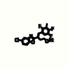 CCOCCC(=Cc1cc(F)c(F)c(C)c1F)c1nc2cc(Cl)ccc2o1